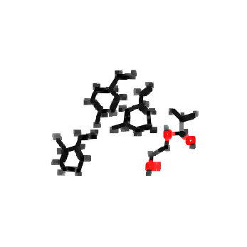 C=C(C)C(=O)OCCO.C=Cc1ccc(C)cc1.C=Cc1cccc(C)c1.C=Cc1ccccc1C